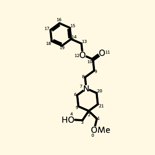 COCC1(CO)CCN(CCC(=O)OCc2ccccc2)CC1